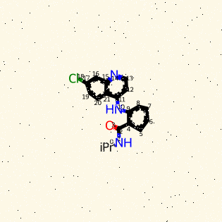 CC(C)NC(=O)c1ccccc1Nc1ccnc2cc(Cl)ccc12